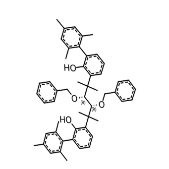 Cc1cc(C)c(-c2cccc(C(C)(C)[C@@H](OCc3ccccc3)[C@H](OCc3ccccc3)C(C)(C)c3cccc(-c4c(C)cc(C)cc4C)c3O)c2O)c(C)c1